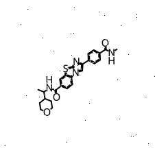 CNC(=O)c1ccc(-c2cn3c(n2)sc2cc(C(=O)NC(C)C4CCOCC4)ccc23)cc1